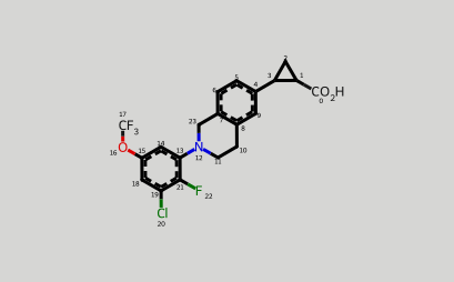 O=C(O)C1CC1c1ccc2c(c1)CCN(c1cc(OC(F)(F)F)cc(Cl)c1F)C2